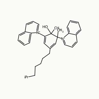 CC(C)CCCCCC1=CC(C)([n+]2cccc3ccccc32)C(C)(O)C([n+]2cccc3ccccc32)=C1